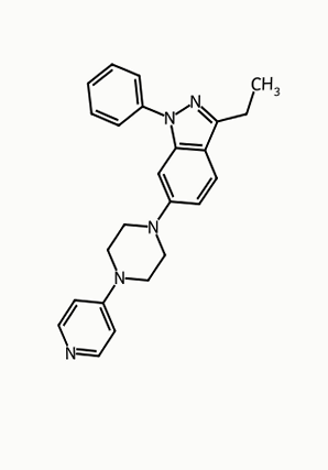 CCc1nn(-c2ccccc2)c2cc(N3CCN(c4ccncc4)CC3)ccc12